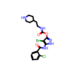 O=C(NCCC1CCNCC1)Oc1n[nH]c(NC(=O)c2ccccc2Cl)c1Br